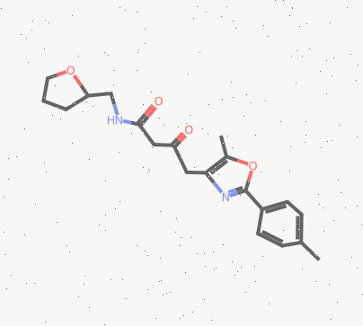 Cc1ccc(-c2nc(CC(=O)CC(=O)NCC3CCCO3)c(C)o2)cc1